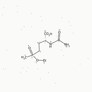 CCOP(C)(=O)CC[C@@H](NC(N)=O)C(=O)O